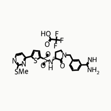 CSc1nccc(-c2ccc(S(=O)(=O)N[C@H]3CCN(Cc4cccc(C(=N)N)c4)C3=O)s2)n1.O=C(O)C(F)(F)F